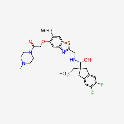 COc1cc2sc(CNC(O)C3(CC(=O)O)Cc4cc(F)c(F)cc4C3)nc2cc1OCC(=O)N1CCN(C)CC1